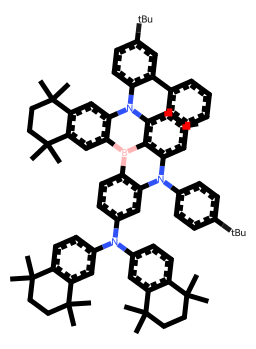 Cc1cc2c3c(c1)N(c1ccc(C(C)(C)C)cc1-c1ccccc1)c1cc4c(cc1B3c1ccc(N(c3ccc5c(c3)C(C)(C)CCC5(C)C)c3ccc5c(c3)C(C)(C)CCC5(C)C)cc1N2c1ccc(C(C)(C)C)cc1)C(C)(C)CCC4(C)C